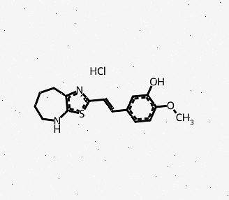 COc1ccc(C=Cc2nc3c(s2)NCCCC3)cc1O.Cl